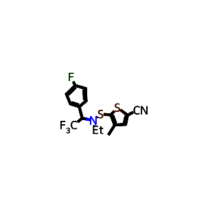 CCN(Sc1sc(C#N)cc1C)C(c1ccc(F)cc1)C(F)(F)F